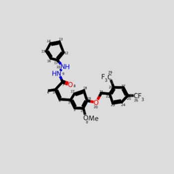 COc1cc(C=C(C)C(=O)NNc2ccccc2)ccc1OCc1ccc(C(F)(F)F)cc1C(F)(F)F